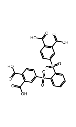 O=C(O)c1ccc(S(=O)(=O)c2ccccc2S(=O)(=O)c2ccc(C(=O)O)c(C(=O)O)c2)cc1C(=O)O